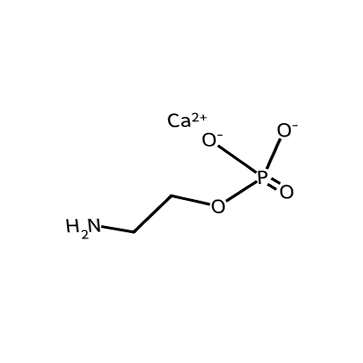 NCCOP(=O)([O-])[O-].[Ca+2]